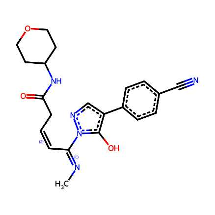 C/N=C(\C=C/CC(=O)NC1CCOCC1)n1ncc(-c2ccc(C#N)cc2)c1O